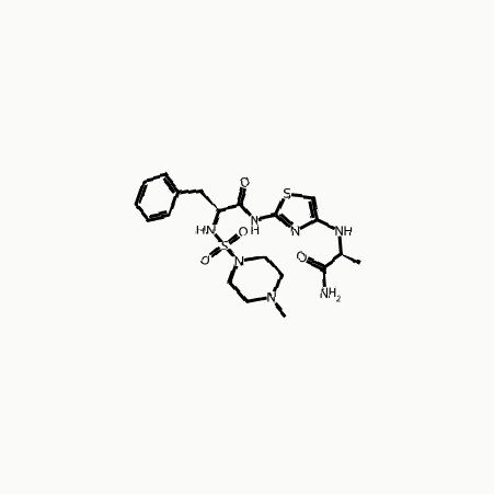 C[C@H](Nc1csc(NC(=O)[C@H](Cc2ccccc2)NS(=O)(=O)N2CCN(C)CC2)n1)C(N)=O